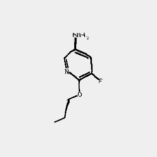 CCCOc1ncc(N)cc1F